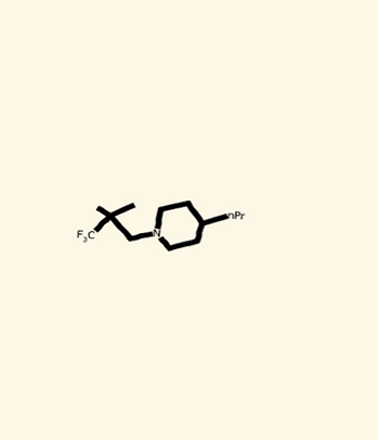 CCCC1CCN(CC(C)(C)C(F)(F)F)CC1